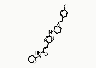 O=C(/C=C/c1cnc(N[C@@H]2CCCN(CCc3ccc(Cl)cc3)C2)cn1)NOC1CCCCO1